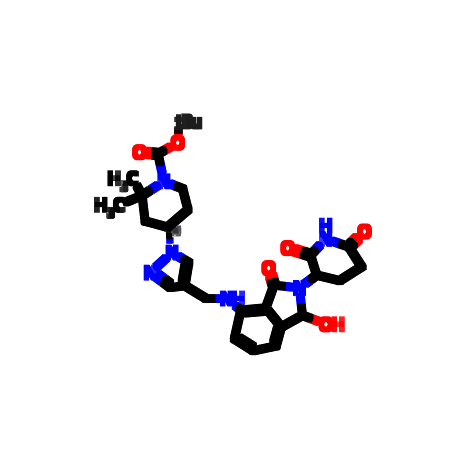 CC(C)(C)OC(=O)N1CC[C@H](n2cc(CNc3cccc4c3C(=O)N(C3CCC(=O)NC3=O)C4O)cn2)CC1(C)C